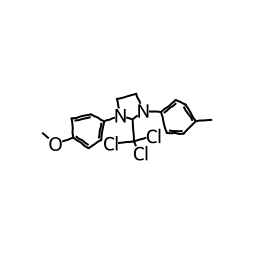 COc1ccc(N2CCN(c3ccc(C)cc3)C2C(Cl)(Cl)Cl)cc1